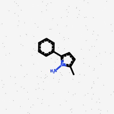 Cc1ccc(-c2ccccc2)n1N